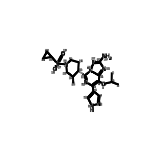 CC(C)Oc1c(-c2cn[nH]c2)nc([C@H]2CCN(S(=O)(=O)C3CC3)C[C@@H]2C)n2nc(N)nc12